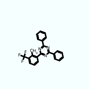 Cc1c(-c2nc(-c3ccccc3)nc(-c3ccccc3)n2)cccc1C(F)(F)F